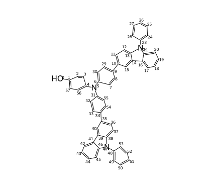 Oc1ccc(N(c2ccc(-c3ccc4c(c3)c3ccccc3n4-c3ccccc3)cc2)c2ccc(-c3ccc4c(c3)c3ccccc3n4-c3ccccc3)cc2)cc1